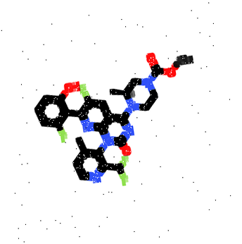 Cc1ccnc(C(F)F)c1-n1c(=O)nc(N2CCN(C(=O)OC(C)(C)C)C[C@@H]2C)c2cc(F)c(-c3c(O)cccc3F)nc21